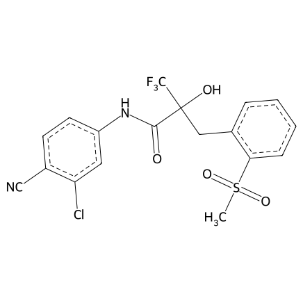 CS(=O)(=O)c1ccccc1CC(O)(C(=O)Nc1ccc(C#N)c(Cl)c1)C(F)(F)F